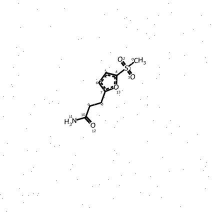 CS(=O)(=O)c1ccc([CH]CC(N)=O)o1